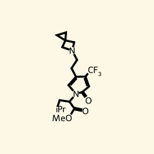 COC(=O)C(CC(C)C)n1cc(CCN2CC3(CC3)C2)c(C(F)(F)F)cc1=O